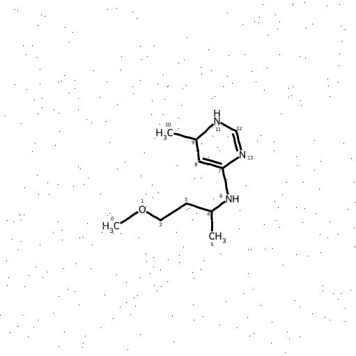 COCCC(C)NC1=CC(C)NC=N1